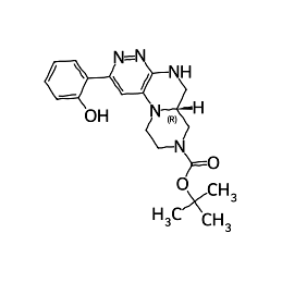 CC(C)(C)OC(=O)N1CCN2c3cc(-c4ccccc4O)nnc3NC[C@@H]2C1